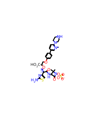 C[n+]1cc(-c2ccc(OC[C@H](O/N=C(\C(=O)N[C@@H]3C(=O)N(OS(=O)(=O)[O-])C3(C)C)c3csc(N)n3)C(=O)O)cc2)ccc1N1CCNCC1